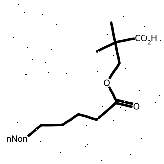 CCCCCCCCCCCCCC(=O)OCC(C)(C)C(=O)O